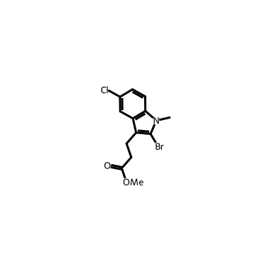 COC(=O)CCc1c(Br)n(C)c2ccc(Cl)cc12